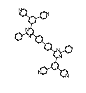 c1ccc(-c2nc(-c3ccc(-c4ccc(-c5cc(-c6cc(-c7ccncc7)cc(-c7ccncc7)c6)nc(-c6ccccc6)n5)cc4)cc3)cc(-c3cc(-c4ccncc4)cc(-c4ccncc4)c3)n2)cc1